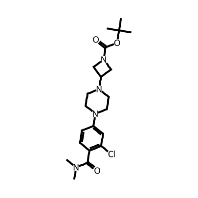 CN(C)C(=O)c1ccc(N2CCN(C3CN(C(=O)OC(C)(C)C)C3)CC2)cc1Cl